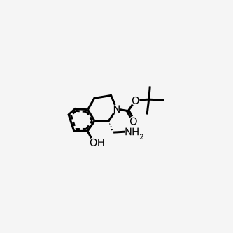 CC(C)(C)OC(=O)N1CCc2cccc(O)c2[C@H]1CN